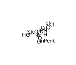 CCCCCC(=O)OC[C@H](CCN1CCC2(CC2)[C@H](O)C1)N1CCN(C(=O)Nc2ccc(Cl)c(Cl)c2)[C@@H](C)C1=O